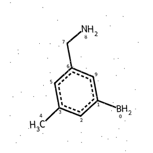 Bc1cc(C)cc(CN)c1